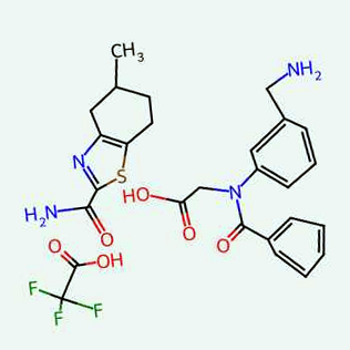 CC1CCc2sc(C(N)=O)nc2C1.NCc1cccc(N(CC(=O)O)C(=O)c2ccccc2)c1.O=C(O)C(F)(F)F